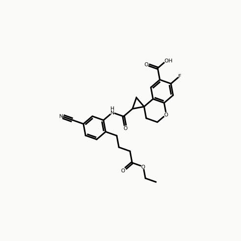 CCOC(=O)CCCc1ccc(C#N)cc1NC(=O)C1CC12CCOc1cc(F)c(C(=O)O)cc12